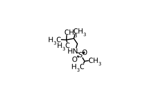 CC(CNS(=O)(=O)C(C)C)C(C)(C)C